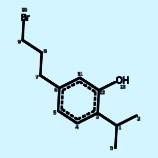 CC(C)c1ccc(CCCBr)cc1O